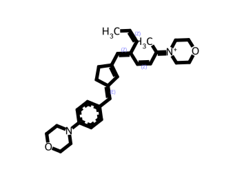 C\C=C/C(/C=C\C(C)=[N+]1CCOCC1)=C/C1=CC(=C/c2ccc(N3CCOCC3)cc2)/CC1